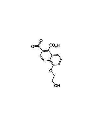 O=C(O)c1c(I(=O)=O)ccc2c(OCCO)cccc12